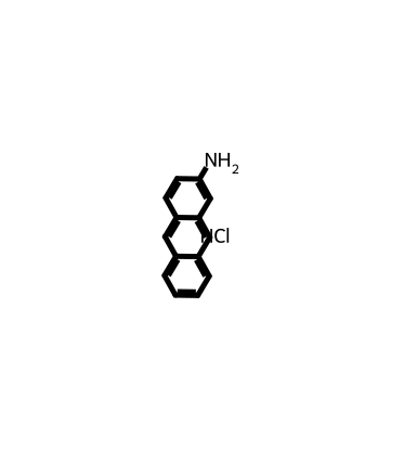 Cl.Nc1ccc2cc3ccccc3cc2c1